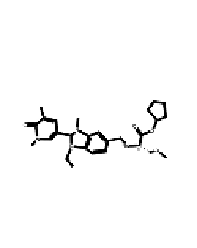 CCN1c2ccc(CN[C@@H](COC)C(=O)OC3CCCC3)cc2N(C)C1c1cc(C)c(=O)n(C)c1